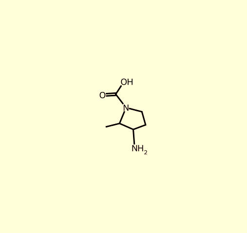 CC1C(N)CCN1C(=O)O